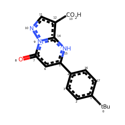 CC(C)(C)c1ccc(-c2cc(=O)n3ncc(C(=O)O)c3[nH]2)cc1